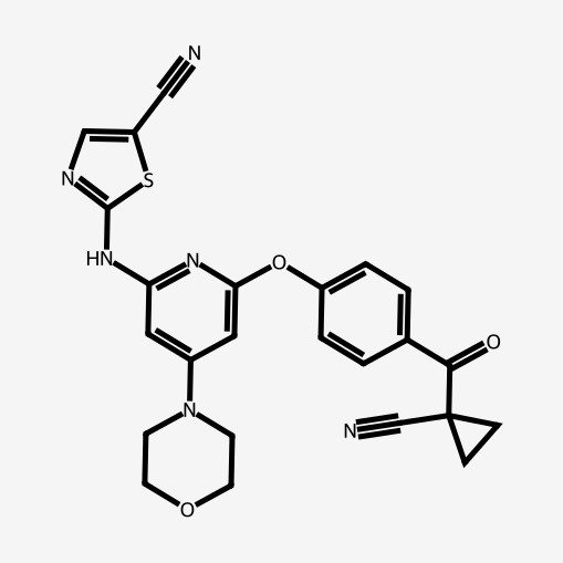 N#Cc1cnc(Nc2cc(N3CCOCC3)cc(Oc3ccc(C(=O)C4(C#N)CC4)cc3)n2)s1